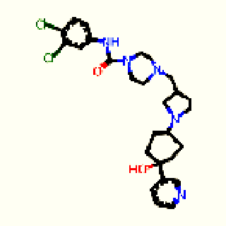 O=C(Nc1ccc(Cl)c(Cl)c1)N1CCN(CC2CCN(C3CCC(O)(c4cccnc4)CC3)C2)CC1